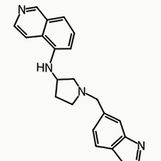 C1=Nc2cc(CN3CCC(Nc4cccc5cnccc45)C3)ccc2C1